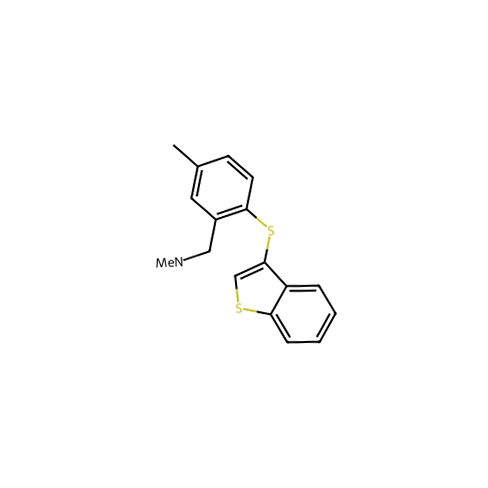 CNCc1cc(C)ccc1Sc1csc2ccccc12